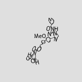 COc1c(OCCOC(=O)N2C[C@@H]3C[C@H]2C(=O)O3)ccc2c1N=C(NC(=O)c1cccnc1)N1CCN=C21